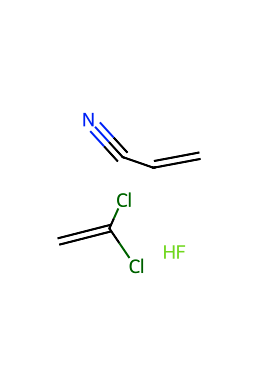 C=C(Cl)Cl.C=CC#N.F